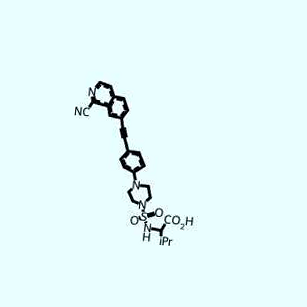 CC(C)C(NS(=O)(=O)N1CCN(c2ccc(C#Cc3ccc4ccnc(C#N)c4c3)cc2)CC1)C(=O)O